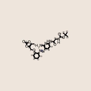 Cc1oc(=O)oc1COc1ccccc1/N=N/c1ccc(NC(=O)CNC(=O)OC(C)(C)C)nc1N